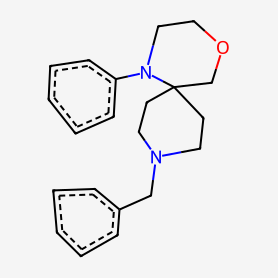 c1ccc(CN2CCC3(CC2)COCCN3c2ccccc2)cc1